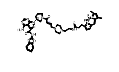 CC1=CC(C)=[N+]2C1=Cc1ccc(CCC(=O)NCCN3CCN(C/C=C/C(=O)N4CCC[C@@H](n5nc(C(=O)Nc6nc7ccccc7o6)c6c(N)ncnc65)C4)CC3)n1[B-]2(F)F